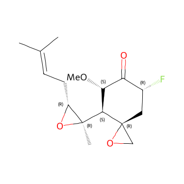 CO[C@@H]1C(=O)[C@H](F)C[C@]2(CO2)[C@H]1[C@@]1(C)O[C@@H]1CC=C(C)C